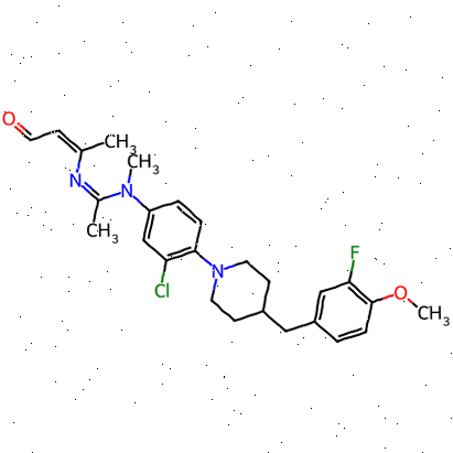 COc1ccc(CC2CCN(c3ccc(N(C)/C(C)=N\C(C)=C/C=O)cc3Cl)CC2)cc1F